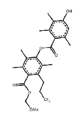 COCOC(=O)c1c(C)c(C)c(OC(=O)c2c(C)cc(O)c(C)c2C)c(C)c1CCC(F)(F)F